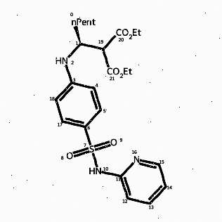 CCCCC[C@H](Nc1ccc(S(=O)(=O)Nc2ccccn2)cc1)C(C(=O)OCC)C(=O)OCC